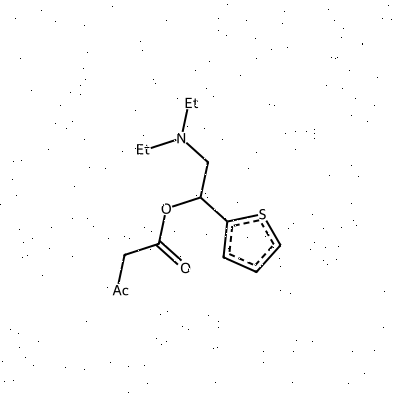 CCN(CC)CC(OC(=O)CC(C)=O)c1cccs1